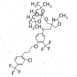 CC1=NC(CCc2ccc(OCCCc3ccc(C(F)(F)F)cc3Cl)c(C(F)(F)F)c2)(COP(=O)(OC(C)(C)C)OC(C)(C)C)CO1